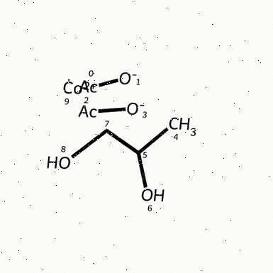 CC(=O)[O-].CC(=O)[O-].CC(O)CO.[Co+2]